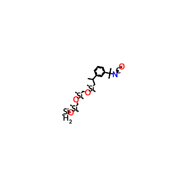 C[SiH2]O[Si](C)(C)CO[Si](C)(C)CO[Si](C)(C)CC(C)c1cccc(C(C)(C)N=C=O)c1